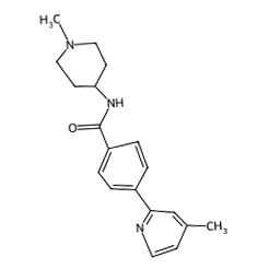 Cc1ccnc(-c2ccc(C(=O)NC3CCN(C)CC3)cc2)c1